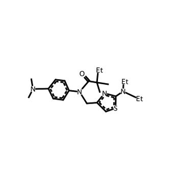 CCN(CC)c1nc(CN(C(=O)C(C)(C)CC)c2ccc(N(C)C)cc2)cs1